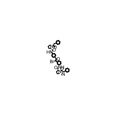 CN(C)[C@@H](C(=O)N1CCC[C@H]1C(=O)Nc1ccc2oc(-c3ccc(NC(=O)[C@@H]4CCCN4C(=O)Cc4ccccc4)cc3)c(Br)c2c1)c1ccccc1